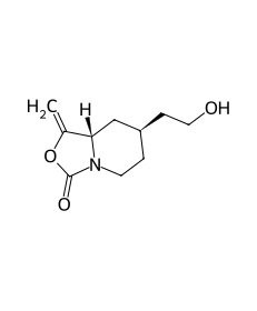 C=C1OC(=O)N2CC[C@H](CCO)C[C@@H]12